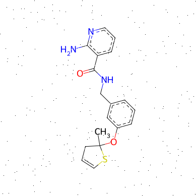 CC1(Oc2cccc(CNC(=O)c3cccnc3N)c2)CC=CS1